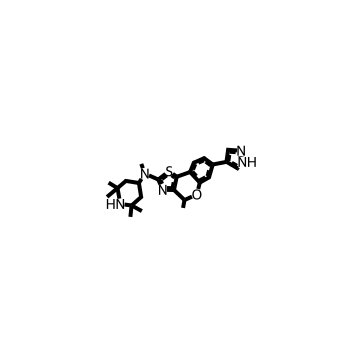 CC1Oc2cc(-c3cn[nH]c3)ccc2-c2sc(N(C)C3CC(C)(C)NC(C)(C)C3)nc21